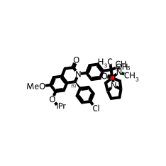 COc1cc2c(cc1OC(C)C)[C@H](c1ccc(Cl)cc1)N(c1ccc(C(C)(O)C3CC4CCC(C3)N4C(=O)N(C)C)cc1)C(=O)C2